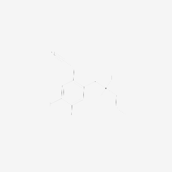 COCC(F)(F)Cc1cc(Cl)c(Cl)cc1OC#N